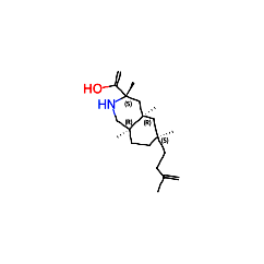 C=C(C)CC[C@@]1(C)CC[C@@]2(C)CN[C@](C)(C(=C)O)C[C@@]2(C)C1